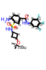 CC(C)(C)[Si](C)(C)OC1CC(NS(=O)(=O)c2cc(C(=O)Nc3cc(F)c(F)c(F)c3)ccc2N)C1